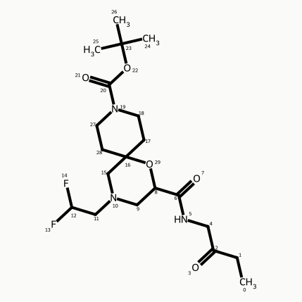 CCC(=O)CNC(=O)C1CN(CC(F)F)CC2(CCN(C(=O)OC(C)(C)C)CC2)O1